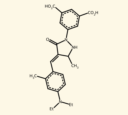 CCN(CC)c1ccc(C=C2C(=O)N(c3cc(C(=O)O)cc(C(=O)O)c3)NC2C)c(C)c1